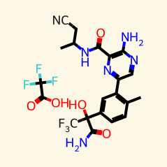 Cc1ccc(C(O)(C(N)=O)C(F)(F)F)cc1-c1cnc(N)c(C(=O)NC(C)CC#N)n1.O=C(O)C(F)(F)F